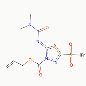 C=CCOC(=O)n1nc(S(=O)(=O)C(C)C)sc1=NC(=O)N(C)C